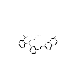 CCC(O)c1ccccc1C(CCSC)c1cccc(/C=C/c2ccc3ccc(Cl)cc3n2)c1